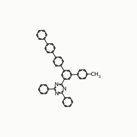 Cc1ccc(-c2cc(-c3ccc(-c4ccc(-c5ccccc5)cc4)cc3)cc(-c3nc(-c4ccccc4)nc(-c4ccccc4)n3)c2)cc1